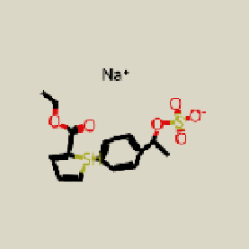 CCOC(=O)C1=CC=C[SH]1c1ccc(C(C)OS(=O)(=O)[O-])cc1.[Na+]